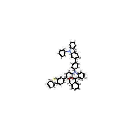 c1ccc(-n2c3ccccc3c3ccc(-c4ccc(N(c5ccc(-c6ccc7c(c6)sc6ccccc67)cc5)c5ccccc5-c5cccc6ccccc56)cc4)cc32)cc1